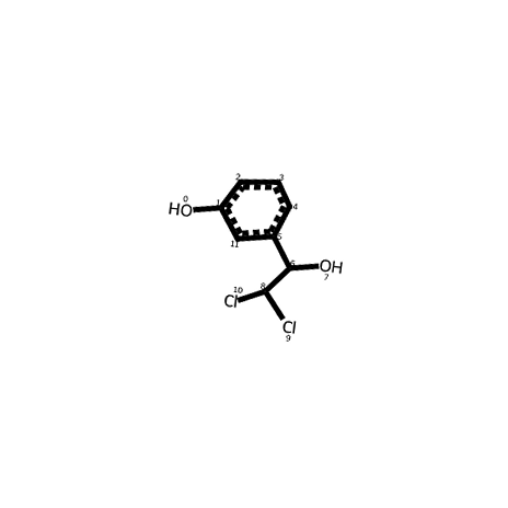 Oc1cccc(C(O)C(Cl)Cl)c1